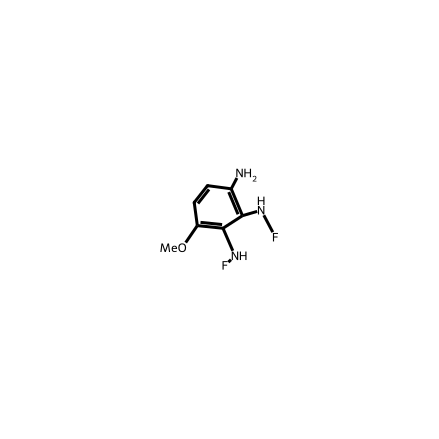 COc1ccc(N)c(NF)c1NF